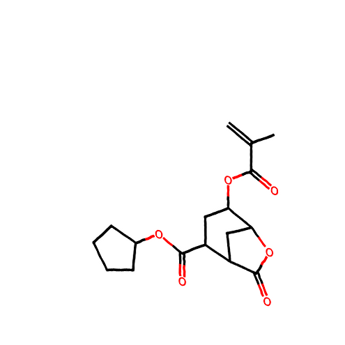 C=C(C)C(=O)OC1CC(C(=O)OC2CCCC2)C2CC1OC2=O